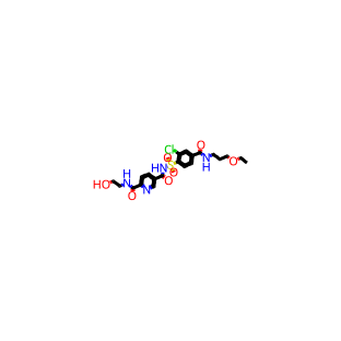 CCOCCCNC(=O)c1ccc(S(=O)(=O)NC(=O)c2ccc(C(=O)NCCO)nc2)c(Cl)c1